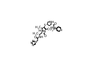 C[C@@H](NC(=O)Cn1cnnn1)[C@H]1C(=O)N2C(C(=O)O)=C(S[C@@H]3CN[C@H](C(=O)Nc4ccncc4)C3)[C@H](C)[C@H]12